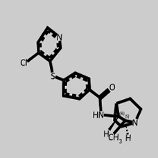 C[C@H]1[C@H](NC(=O)c2ccc(Sc3cnccc3Cl)cc2)C2CCN1CC2